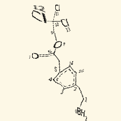 BCc1ccc(C(=O)OCC(Cl)(Cl)Cl)cc1